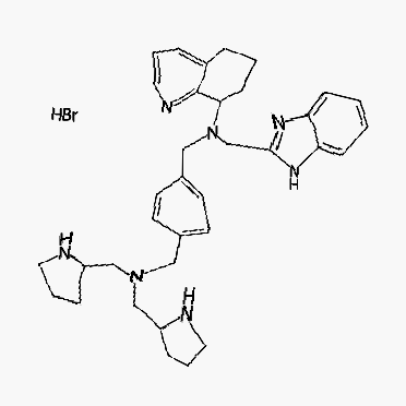 Br.c1cnc2c(c1)CCCC2N(Cc1ccc(CN(CC2CCCN2)CC2CCCN2)cc1)Cc1nc2ccccc2[nH]1